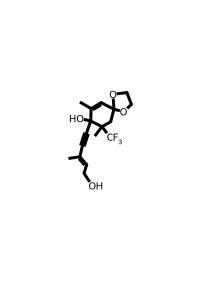 CC(C#CC1(O)C(C)=CC2(CC1(C)C(F)(F)F)OCCO2)=CCO